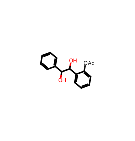 CC(=O)Oc1ccccc1C(O)C(O)c1ccccc1